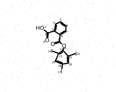 O=C(O)c1ccccc1C(=O)Oc1c(I)cc(I)cc1I